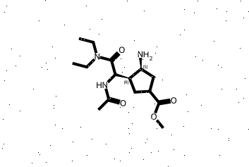 CCN(CC)C(=O)C(NC(C)=O)[C@@H]1CC(C(=O)OC)C[C@@H]1N